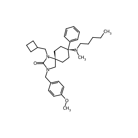 CCCCCN(C)[C@]1(c2ccccc2)CC[C@@]2(CC1)CN(Cc1ccc(OC)cc1)C(=O)N2CC1CCC1